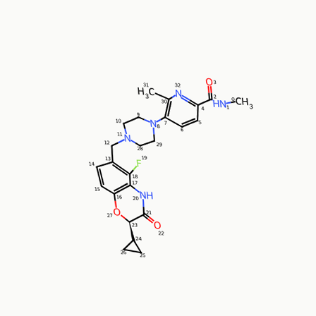 CNC(=O)c1ccc(N2CCN(Cc3ccc4c(c3F)NC(=O)[C@@H](C3CC3)O4)CC2)c(C)n1